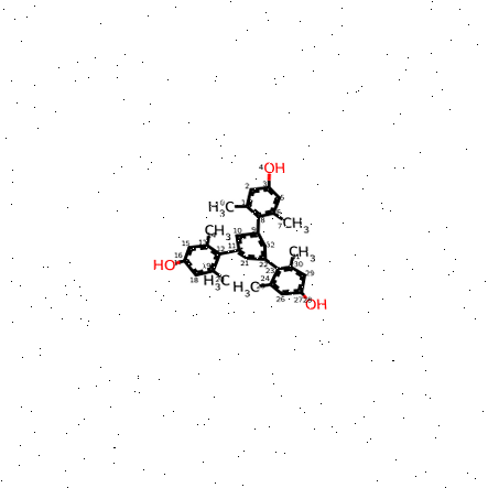 Cc1cc(O)cc(C)c1-c1cc(-c2c(C)cc(O)cc2C)cc(-c2c(C)cc(O)cc2C)c1